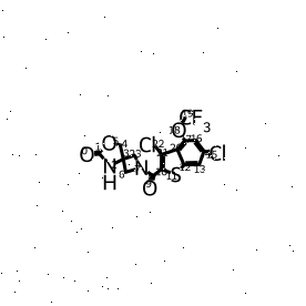 O=C1NC2(CO1)CN(C(=O)c1sc3cc(Cl)cc(OC(F)(F)F)c3c1Cl)C2